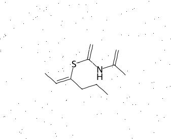 C=C(C)NC(=C)S/C(=C\C)CCC